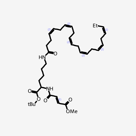 CC/C=C\C/C=C\C/C=C\C/C=C\C/C=C\C/C=C\CCC(=O)NCCCCC(NC(=O)/C=C/C(=O)OC)C(=O)OC(C)(C)C